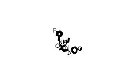 CCSc1nc(N(C)C2CCC(OC)CC2)cc(C)c1C(=O)NCc1cccc(F)c1